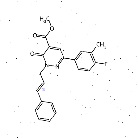 COC(=O)c1cc(-c2ccc(F)c(C)c2)nn(C/C=C/c2ccccc2)c1=O